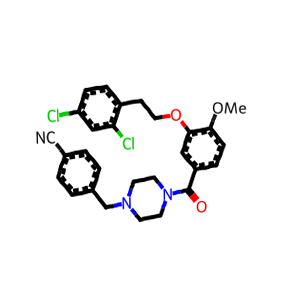 COc1ccc(C(=O)N2CCN(Cc3ccc(C#N)cc3)CC2)cc1OCCc1ccc(Cl)cc1Cl